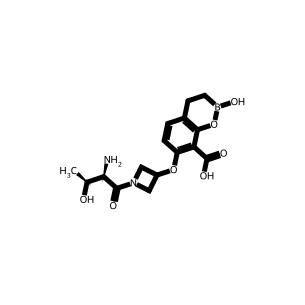 C[C@H](O)[C@@H](N)C(=O)N1CC(Oc2ccc3c(c2C(=O)O)OB(O)CC3)C1